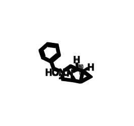 O=C(O)N1C2CN(Cc3ccccc3)C[C@@H]1[C@@H]1CC21